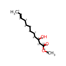 CC=CCCCCCCC(O)CC(=O)OC